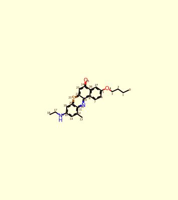 CCCCOc1ccc2c3nc4c(C)cc(NCC)cc4sc-3cc(=O)c2c1